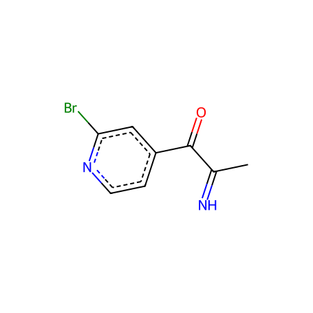 CC(=N)C(=O)c1ccnc(Br)c1